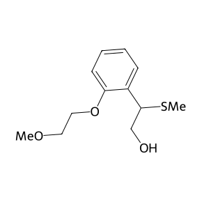 COCCOc1ccccc1C(CO)SC